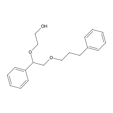 OCCOC(COCCCc1ccccc1)c1ccccc1